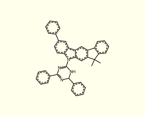 CC1(C)c2ccccc2-c2cc3c4cc(-c5ccccc5)ccc4n(C4=NC(c5ccccc5)=NC(c5ccccc5)N4)c3cc21